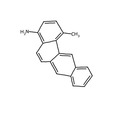 Cc1ccc(N)c2ccc3cc4ccccc4cc3c12